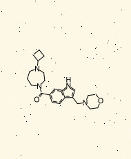 O=C(c1ccc2c(CN3CCOCC3)c[nH]c2c1)N1CCCN(C2CCC2)CC1